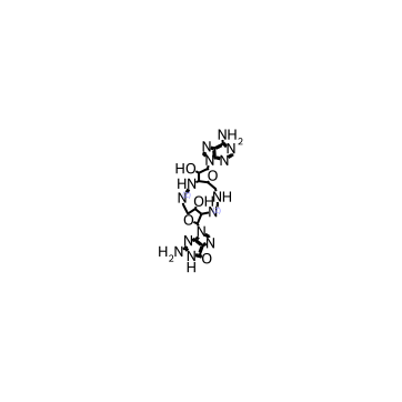 Nc1nc2c(ncn2C2OC3C/N=C\NC4C(CN/C=N\C2C3O)OC(n2cnc3c(N)ncnc32)C4O)c(=O)[nH]1